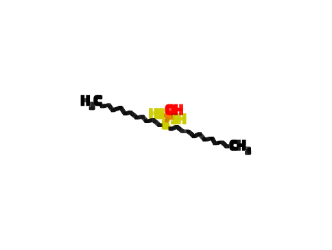 CCCCCCCCCCCCS(CCCCCCCCCCCC)=P(O)(S)S